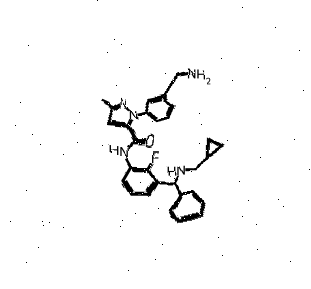 Cc1cc(C(=O)Nc2cccc(C(NCC3CC3)c3ccccc3)c2F)n(-c2cccc(CN)c2)n1